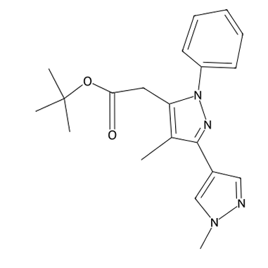 Cc1c(-c2cnn(C)c2)nn(-c2ccccc2)c1CC(=O)OC(C)(C)C